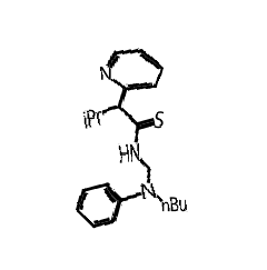 CCCCN(CNC(=S)C(c1ccccn1)C(C)C)c1ccccc1